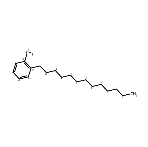 CCCCCCCCCCCCCc1[c]cccc1C